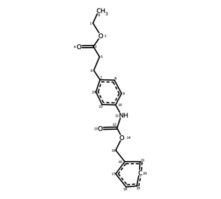 CCOC(=O)CCc1ccc(NC(=O)OCc2ccccc2)cc1